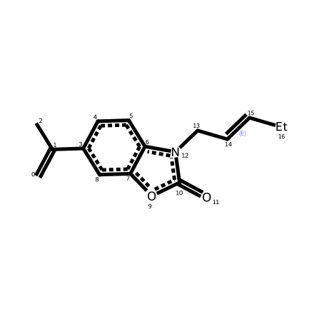 C=C(C)c1ccc2c(c1)oc(=O)n2C/C=C/CC